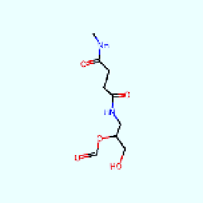 CNC(=O)CCC(=O)NCC(CO)OC=O